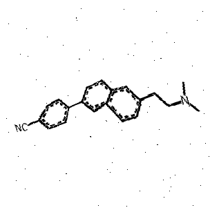 CN(C)CCc1ccc2cc(-c3ccc(C#N)cc3)ccc2c1